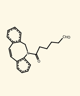 O=CCCCCC(=O)N1Cc2ccccc2/C=C\c2ccccc21